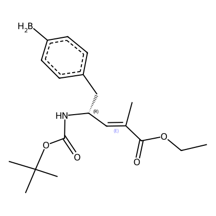 Bc1ccc(C[C@H](/C=C(\C)C(=O)OCC)NC(=O)OC(C)(C)C)cc1